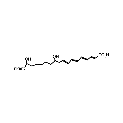 CCCCCC(O)CCCCCC(O)CC=CC=CC=CC=CC(=O)O